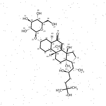 C[C@H]([C@H](O)CCC(C)(C)O)[C@H]1CC[C@@]2(O)C3=CC(=O)[C@@H]4C[C@@H](O[C@@H]5O[C@H](CO)[C@@H](O)[C@H](O)[C@H]5O)CC[C@]4(C)[C@H]3CC[C@]12C